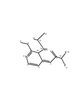 C=C(/C=C1/C=CN=C(CC)C1NC(C)C)C(F)F